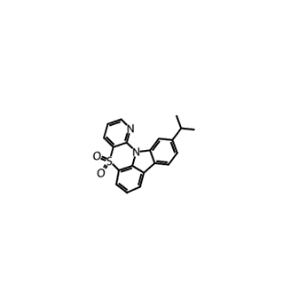 CC(C)c1ccc2c3cccc4c3n(c2c1)-c1ncccc1S4(=O)=O